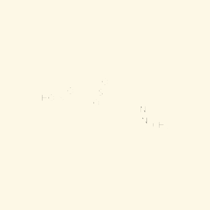 CN=Nc1ccc(S(=O)(=O)CCOS(=O)(=O)O)cc1